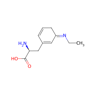 CCN=C1C=C(C[C@H](N)C(=O)O)C=CC1